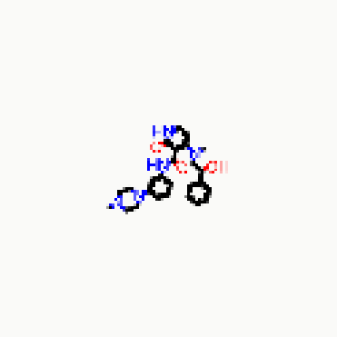 CN1CCN(c2cccc(NC(=O)c3c(N(C)CC(O)c4ccccc4)cc[nH]c3=O)c2)CC1